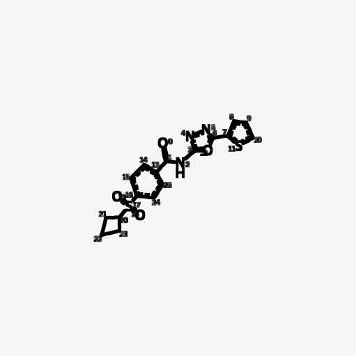 O=C(Nc1nnc(-c2cccs2)o1)c1ccc(S(=O)(=O)C2CCC2)cc1